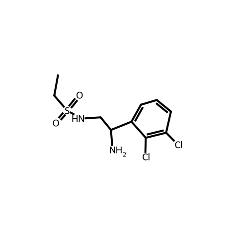 CCS(=O)(=O)NCC(N)c1cccc(Cl)c1Cl